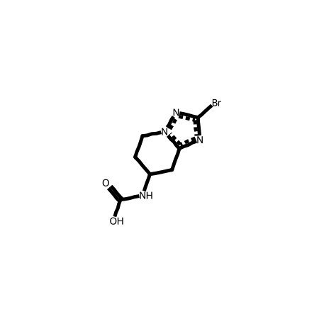 O=C(O)NC1CCn2nc(Br)nc2C1